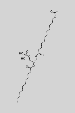 CCCCCCCCCCCC(=O)O[C@@H](COC(=O)CCCCCCCCCCCSC(C)=O)COP(=O)(O)O